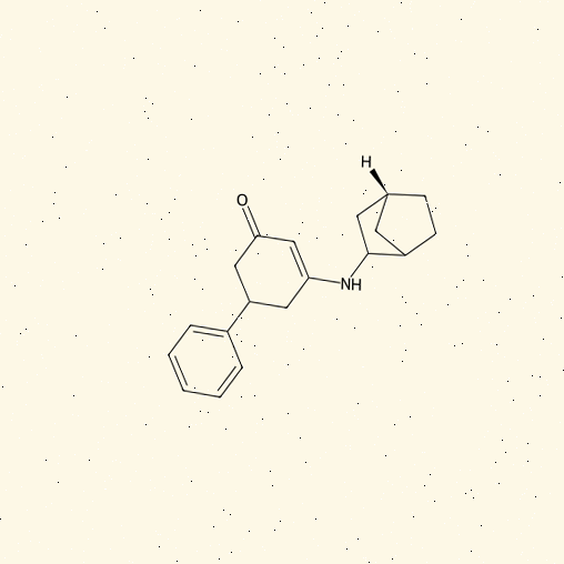 O=C1C=C(NC2C[C@@H]3CCC2C3)CC(c2ccccc2)C1